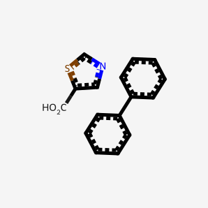 O=C(O)c1cncs1.c1ccc(-c2ccccc2)cc1